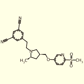 C[C@@H]1C[C@H](COc2ccc(S(C)(=O)=O)nc2)CN1CCc1cc(C#N)cc(C#N)c1